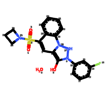 O.O=S(=O)(C1=CC2=C(O)N(c3cccc(F)c3)NN2c2ccccc21)N1CCC1